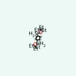 CCC(CC)(CC)O[SiH2]c1ccc([SiH2]OC(CC)(CC)CC)cc1